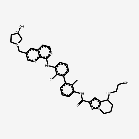 Cc1c(NC(=O)c2cc3n(n2)CCCC3NCCO)cccc1-c1cccc(Nc2nccc3cc(CN4CC[C@@H](O)C4)cnc23)c1Cl